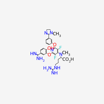 CN1CCN=C1c1cccc(Oc2nc(Oc3cc(C(=N)N)ccc3O)c(F)c(N(C)C(CCCNC(=N)N)C(=O)O)c2F)c1